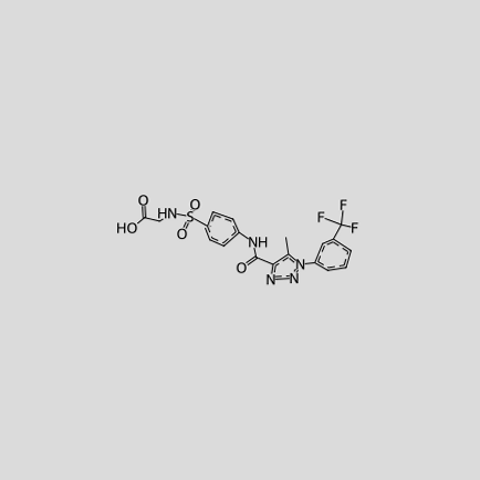 Cc1c(C(=O)Nc2ccc(S(=O)(=O)NCC(=O)O)cc2)nnn1-c1cccc(C(F)(F)F)c1